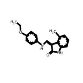 CCOc1ccc(NC=C2C(=O)Nc3cccc(C)c32)cc1